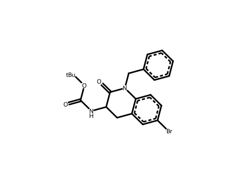 CC(C)(C)OC(=O)NC1Cc2cc(Br)ccc2N(Cc2ccccc2)C1=O